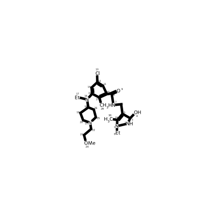 CCN1NC(O)C(CNC(=O)c2cc(Cl)cc(N(CC)C3CCN(CCOC)CC3)c2C)=C1C